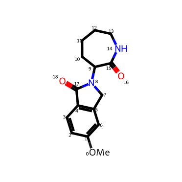 COc1ccc2c(c1)CN(C1CCCCNC1=O)C2=O